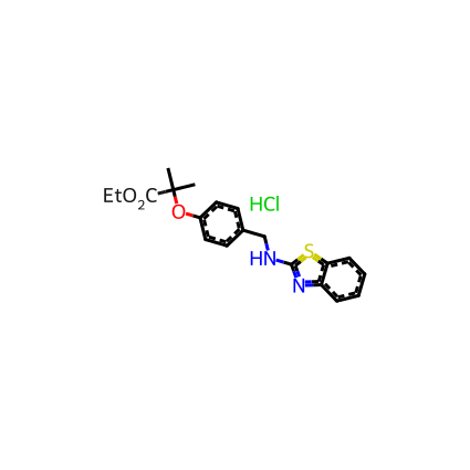 CCOC(=O)C(C)(C)Oc1ccc(CNc2nc3ccccc3s2)cc1.Cl